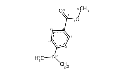 COC(=O)c1ccc(N(C)C)cc1